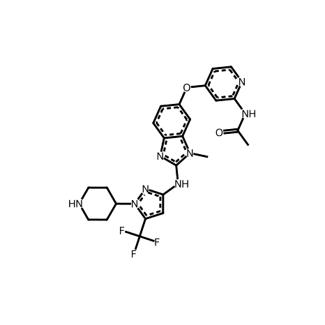 CC(=O)Nc1cc(Oc2ccc3nc(Nc4cc(C(F)(F)F)n(C5CCNCC5)n4)n(C)c3c2)ccn1